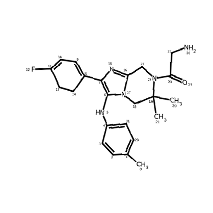 Cc1ccc(Nc2c(C3=CC=C(F)CC3)nc3n2CC(C)(C)N(C(=O)CN)C3)cc1